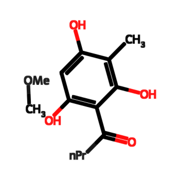 CCCC(=O)c1c(O)cc(O)c(C)c1O.COC